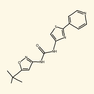 CC(C)(C)c1cc(NC(=O)Nc2csc(-c3ccncc3)n2)no1